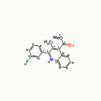 COC(=O)c1c(C)c(-c2cccc(F)c2)nc2ccccc12